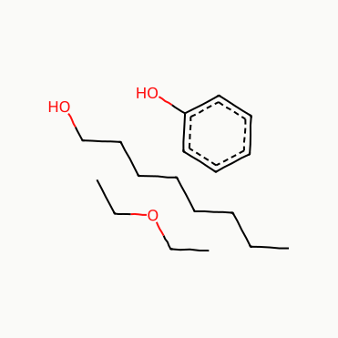 CCCCCCCCO.CCOCC.Oc1ccccc1